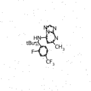 Cc1cc(N[C@@H](c2ccc(C(F)(F)F)cc2F)C(C)(C)C)n2ncnc2n1